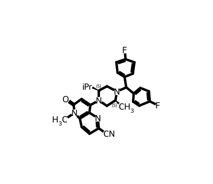 CC(C)[C@H]1CN(C(c2ccc(F)cc2)c2ccc(F)cc2)[C@@H](C)CN1c1cc(=O)n(C)c2ccc(C#N)nc12